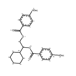 CCCCCCCCCCc1ccc(C(=O)OCC(OC(=O)c2ccc(CCCCCCCCCC)cc2)C2CCCCC2)cc1